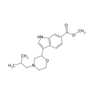 COC(=O)c1ccc2c(C3CN(CC(C)C)CCO3)c[nH]c2c1